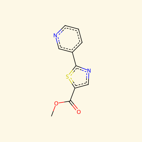 COC(=O)c1cnc(-c2cccnc2)s1